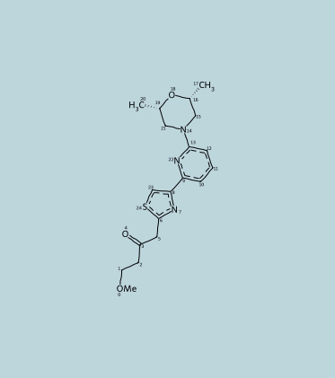 COCCC(=O)Cc1nc(-c2cccc(N3C[C@@H](C)O[C@@H](C)C3)n2)cs1